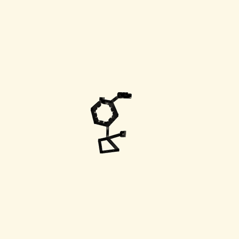 COc1cc(C2(Cl)CCC2)ccn1